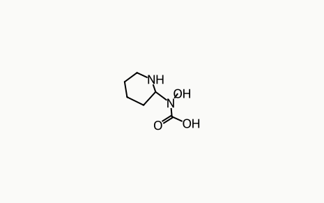 O=C(O)N(O)C1CCCCN1